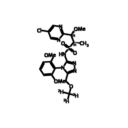 [2H]C([2H])([2H])OCc1nnc(NS(=O)(=O)[C@@H](C)[C@H](OC)c2ncc(Cl)cn2)n1-c1c(OC)cccc1OC